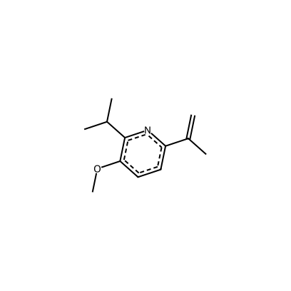 C=C(C)c1ccc(OC)c(C(C)C)n1